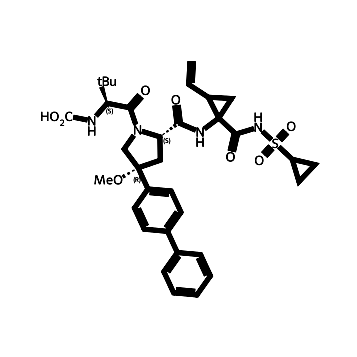 C=CC1CC1(NC(=O)[C@@H]1C[C@@](OC)(c2ccc(-c3ccccc3)cc2)CN1C(=O)[C@@H](NC(=O)O)C(C)(C)C)C(=O)NS(=O)(=O)C1CC1